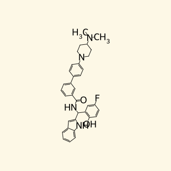 CN(C)C1CCN(c2ccc(-c3cccc(C(=O)NC(c4cc5ccccc5[nH]4)c4cc(F)ccc4O)c3)cc2)CC1